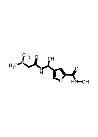 CC(NC(=O)CN(C)C)c1coc(C(=O)NO)c1